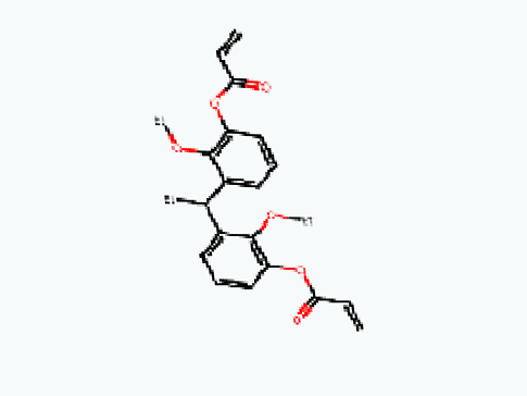 C=CC(=O)Oc1cccc(C(CC)c2cccc(OC(=O)C=C)c2OCC)c1OCC